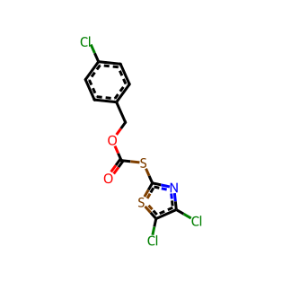 O=C(OCc1ccc(Cl)cc1)Sc1nc(Cl)c(Cl)s1